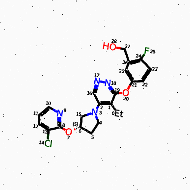 CCc1c(N2CC[C@H](Oc3ncccc3Cl)C2)cnnc1Oc1ccc(F)c(CO)c1